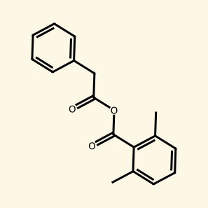 Cc1cccc(C)c1C(=O)OC(=O)Cc1ccccc1